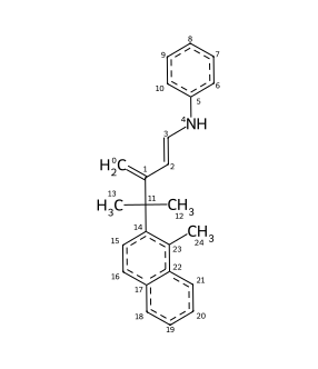 C=C(/C=C/Nc1ccccc1)C(C)(C)c1ccc2ccccc2c1C